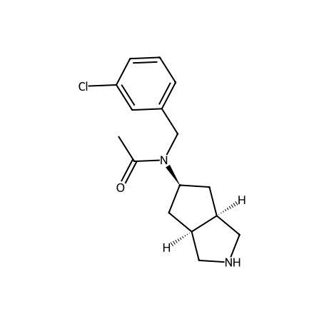 CC(=O)N(Cc1cccc(Cl)c1)[C@H]1C[C@H]2CNC[C@H]2C1